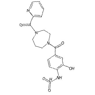 O=C(c1ccc(N[SH](=O)=O)c(O)c1)N1CCCN(C(=O)c2ccccn2)CC1